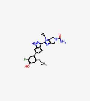 CCc1cc(O)c(F)cc1-c1ccc2c(-c3nc4c(n3C3CC3)CN(C(N)=O)C4)n[nH]c2c1